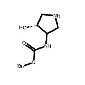 CC(C)(C)OC(=O)NC1CNC[C@H]1O